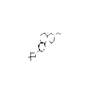 CCN1CCN2c3ncc(N4CC(F)(F)C4)cc3OCC[C@@H]2C1